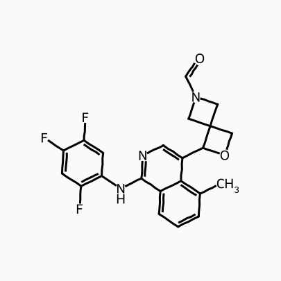 Cc1cccc2c(Nc3cc(F)c(F)cc3F)ncc(C3OCC34CN(C=O)C4)c12